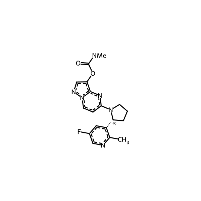 CNC(=O)Oc1cnn2ccc(N3CCC[C@@H]3c3cc(F)cnc3C)nc12